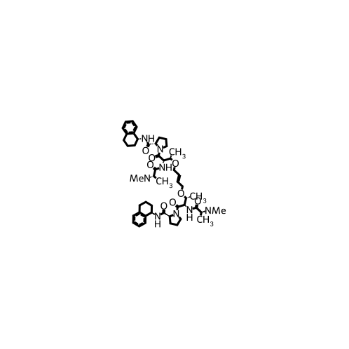 CN[C@@H](C)C(=O)N[C@H](C(=O)N1CCC[C@H]1C(=O)N[C@@H]1CCCc2ccccc21)[C@@H](C)OC/C=C/CO[C@H](C)[C@H](NC(=O)[C@H](C)NC)C(=O)N1CCC[C@H]1C(=O)N[C@@H]1CCCc2ccccc21